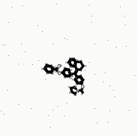 CC(Oc1ccc(C(=C2CCCc3ccccc32)c2ccc(OC(=O)c3ccccc3)cc2)cc1)N1CCCC1